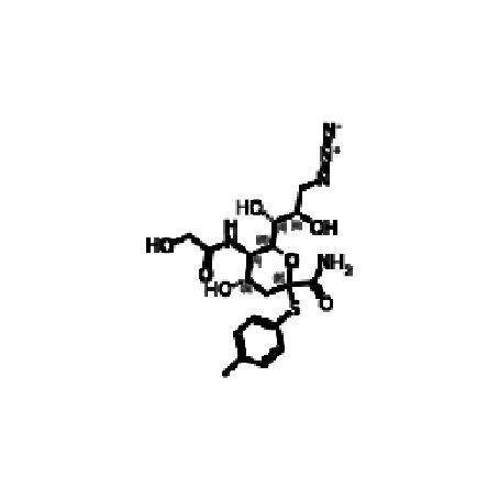 Cc1ccc(S[C@@]2(C(N)=O)C[C@H](O)[C@@H](NC(=O)CO)[C@H]([C@H](O)[C@H](O)CN=[N+]=[N-])O2)cc1